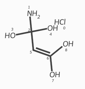 Cl.NC(O)(O)C=C(O)O